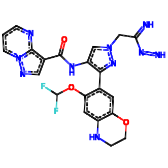 N=NC(=N)Cn1cc(NC(=O)c2cnn3cccnc23)c(-c2cc3c(cc2OC(F)F)NCCO3)n1